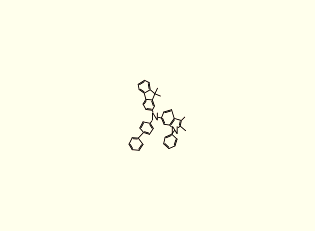 Cc1c(C)n(-c2ccccc2)c2cc(N(c3ccc(-c4ccccc4)cc3)c3ccc4c(c3)C(C)(C)c3ccccc3-4)ccc12